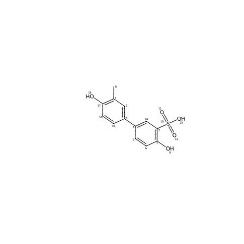 Cc1cc(-c2ccc(O)c(S(=O)(=O)O)c2)ccc1O